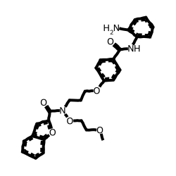 COCCON(CCCOc1ccc(C(=O)Nc2ccccc2N)cc1)C(=O)c1cc2ccccc2o1